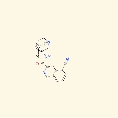 N#Cc1cccc2cnc(C(=O)N[C@H]3CN4CCC3CC4)cc12